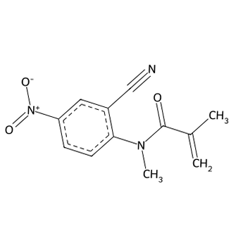 C=C(C)C(=O)N(C)c1ccc([N+](=O)[O-])cc1C#N